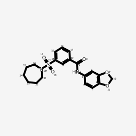 O=C(Nc1ccc2c(c1)OCO2)c1cccc(S(=O)(=O)N2CCCCCC2)c1